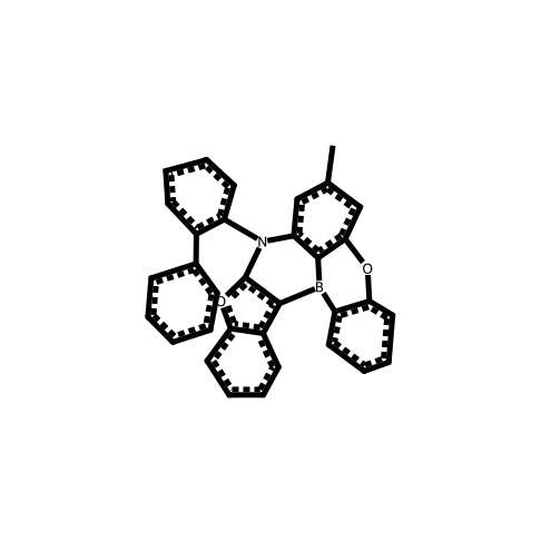 Cc1cc2c3c(c1)N(c1ccccc1-c1ccccc1)c1oc4ccccc4c1B3c1ccccc1O2